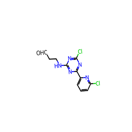 O=CCCNc1nc(Cl)nc(-c2cccc(Cl)n2)n1